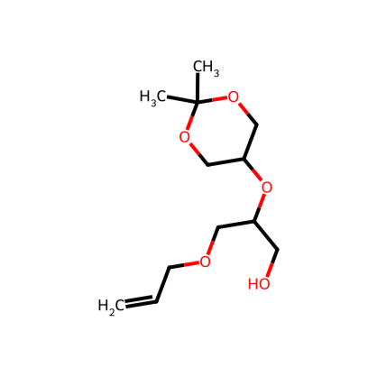 C=CCOCC(CO)OC1COC(C)(C)OC1